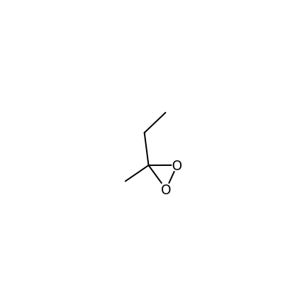 CCC1(C)OO1